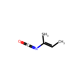 CC=C([SiH3])N=C=O